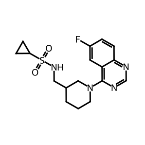 O=S(=O)(NCC1CCCN(c2ncnc3ccc(F)cc23)C1)C1CC1